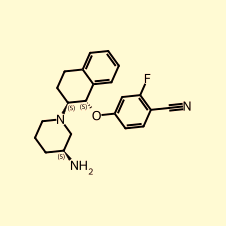 N#Cc1ccc(O[C@H]2c3ccccc3CC[C@@H]2N2CCC[C@H](N)C2)cc1F